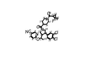 CC(Oc1ccc(C#N)cn1)C1CN(C(=O)C2CCN(C(=O)C3CC3(F)F)CC2)CC1c1ccc(Cl)c(Cl)c1